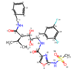 CC(C)[C@@H](C(=O)NCc1ccccc1)[C@@H](O)[C@H](O)[C@H](Cc1cc(F)cc(F)c1)NC(=O)c1coc(NS(C)(=O)=O)n1